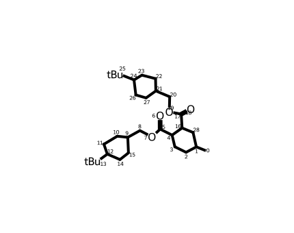 CC1CCC(C(=O)OCC2CCC(C(C)(C)C)CC2)C(C(=O)OCC2CCC(C(C)(C)C)CC2)C1